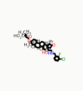 CC(C)C1=C2[C@H]3CC[C@@H]4[C@@]5(C)CC[C@H](OC(=O)CC(C)(C)C(=O)O)C(C)(C)C5CC[C@@]4(C)[C@]3(C)CC[C@@]2([C@H](O)CNCc2cccc(Cl)c2F)CC1=O